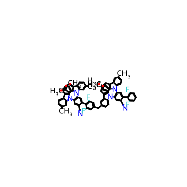 Cc1ccc2c(c1)c1cc(C)ccc1n2-c1cc(-c2c(F)cccc2F)c(C#N)cc1-n1c2ccc(C)cc2c2cc(Cc3cc(F)c(-c4cc(-n5c6cc(C)ccc6c6ccc(C)cc65)c(-n5c6cc(C)ccc6c6ccc(C)cc65)cc4C#N)c(F)c3)ccc21